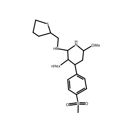 CCCCCCC1C(NCC2CCCS2)NC(OC)CC1c1ccc(S(C)(=O)=O)cc1